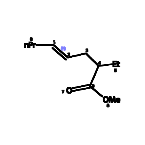 CCC/C=C/CC(CC)C(=O)OC